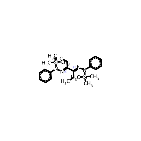 CCC(=N\N(c1ccccc1)[Si](C)(C)C)/C(CC)=N/N(c1ccccc1)[Si](C)(C)C